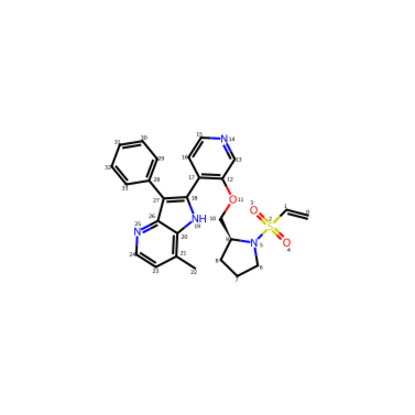 C=CS(=O)(=O)N1CCC[C@H]1COc1cnccc1-c1[nH]c2c(C)ccnc2c1-c1ccccc1